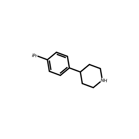 CC(C)c1ccc(C2CCNCC2)cc1